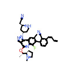 C=C/C=C\c1cccc(-c2c(C)cc3c(nc(O[C@@H](C)[C@@H]4CCCN4C)c4cnn([C@H]5CCN[C@H](CC#N)C5)c43)c2F)c1C#N